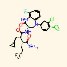 NC(=O)[C@H](CCC(F)(F)F)[C@H](CC1CC1)C(=O)N[C@H]1CN(c2ccc(Cl)c(Cl)c2)c2cccc(F)c2NC1=O